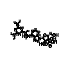 CN(C)c1nc(N(C)C)nc(N(C)C)n1.Nc1ncnc2c1ncn2[C@@H]1O[C@H](CO)[C@](O)(P(=O)(O)O)[C@H]1O